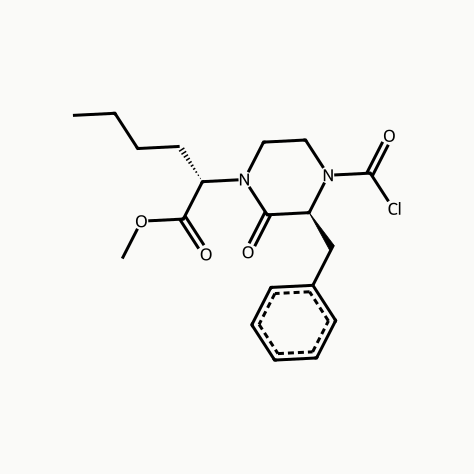 CCCC[C@@H](C(=O)OC)N1CCN(C(=O)Cl)[C@@H](Cc2ccccc2)C1=O